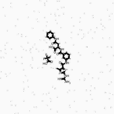 Cc1nc(NC(=N)N)sc1C(=O)Nc1cccc(C(=O)NC(CC(=O)Nc2ccccc2)C(=O)O)c1.O=C(O)C(F)(F)F